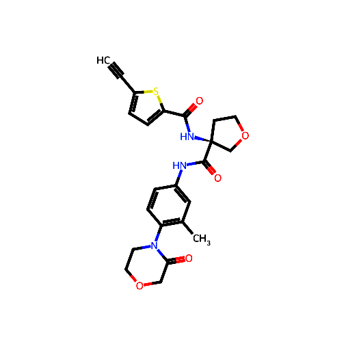 C#Cc1ccc(C(=O)N[C@@]2(C(=O)Nc3ccc(N4CCOCC4=O)c(C)c3)CCOC2)s1